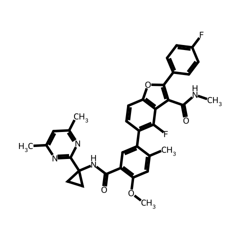 CNC(=O)c1c(-c2ccc(F)cc2)oc2ccc(-c3cc(C(=O)NC4(c5nc(C)cc(C)n5)CC4)c(OC)cc3C)c(F)c12